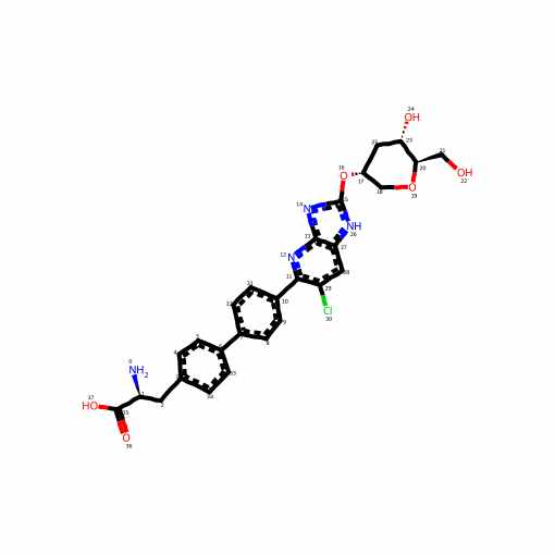 N[C@@H](Cc1ccc(-c2ccc(-c3nc4nc(O[C@H]5CO[C@H](CO)[C@@H](O)C5)[nH]c4cc3Cl)cc2)cc1)C(=O)O